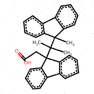 CC1(C(C)(C)C2(CC(=O)O)c3ccccc3-c3ccccc32)c2ccccc2-c2ccccc21